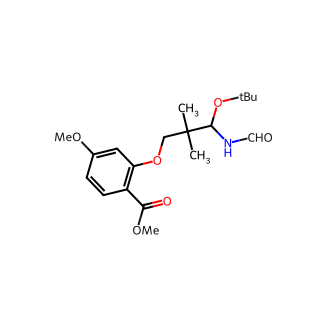 COC(=O)c1ccc(OC)cc1OCC(C)(C)C(NC=O)OC(C)(C)C